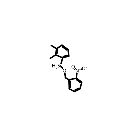 Cc1cccc([SiH2]OCc2ccccc2[N+](=O)[O-])c1C